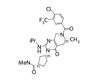 CNC(=O)[C@H]1CC[C@@H](n2c(NC(C)C)nc3c(c2=O)C[C@@H](C)N(C(=O)c2ccc(Cl)c(C(F)(F)F)c2)C3)C1